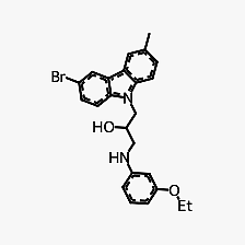 CCOc1cccc(NCC(O)Cn2c3ccc(C)cc3c3cc(Br)ccc32)c1